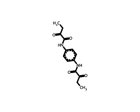 CCC(=O)C(=O)Nc1ccc(NC(=O)C(=O)CC)cc1